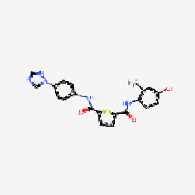 Cc1cc(O)ccc1NC(=O)c1ccc(C(=O)Nc2ccc(-n3cncn3)cc2)s1